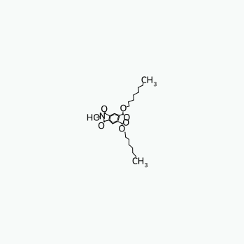 CCCCCCCCOC(=O)c1cc2c(cc1C(=O)OCCCCCCCC)C(=O)N(O)C2=O